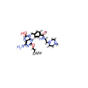 COCCOc1nc(N)c2nc(O)n(Cc3ccc(C(=O)NCCN4CCN(C)CC4)cc3)c2n1